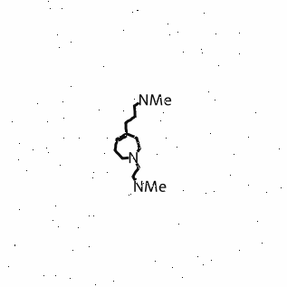 CNCCCC1=CCCN(CCNC)CC1